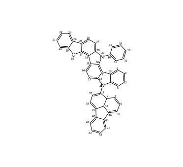 C1=CC2C(n3c4ccccc4c4c3ccc3c5c6oc7ccccc7c6ccc5n(-c5ccccc5)c34)=CC=C3c4ccccc4C(=C1)C32